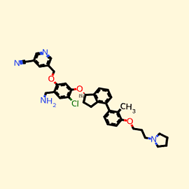 Cc1c(OCCCN2CCCC2)cccc1-c1cccc2c1CC[C@@H]2Oc1cc(OCc2cncc(C#N)c2)c(CN)cc1Cl